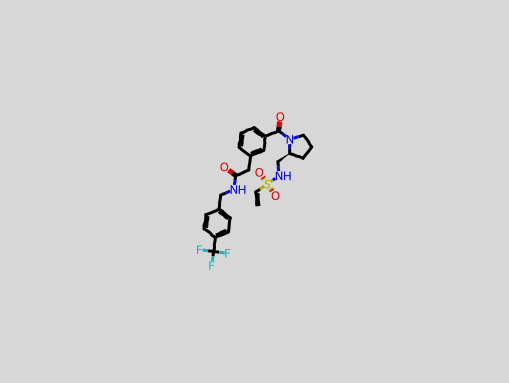 C=CS(=O)(=O)NC[C@@H]1CCCN1C(=O)c1cccc(CC(=O)NCc2ccc(C(F)(F)F)cc2)c1